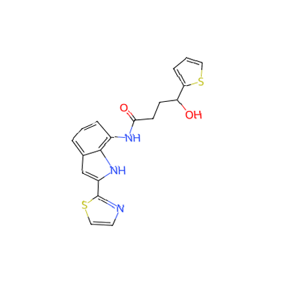 O=C(CCC(O)c1cccs1)Nc1cccc2cc(-c3nccs3)[nH]c12